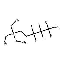 CC(C)O[Si](CCC(F)(F)C(F)(F)C(F)(F)C(F)(F)F)(OC(C)C)OC(C)C